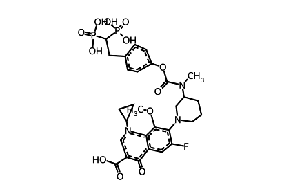 COc1c(N2CCCC(N(C)C(=O)Oc3ccc(CC(P(=O)(O)O)P(=O)(O)O)cc3)C2)c(F)cc2c(=O)c(C(=O)O)cn(C3CC3)c12